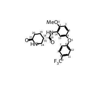 COc1ccc(Oc2ccc(C(F)(F)F)cc2)cc1NC(=O)[C@H]1CCC(=O)NC1